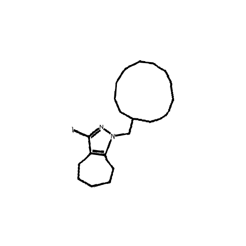 Ic1nn(CC2CCCCCCCCCCC2)c2c1CCCCC2